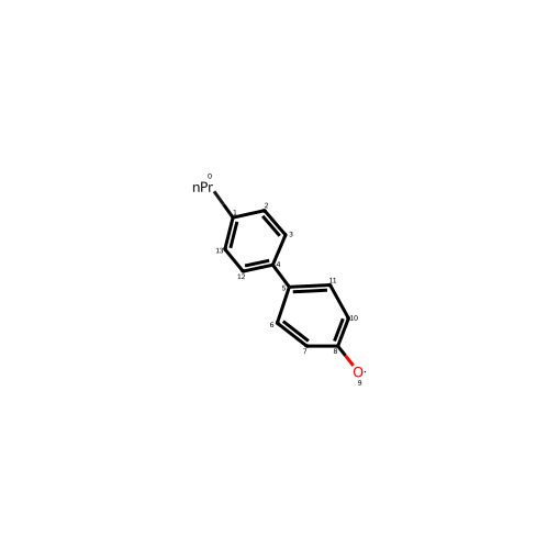 CCCc1ccc(-c2ccc([O])cc2)cc1